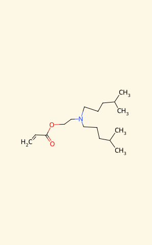 C=CC(=O)OCCN(CCCC(C)C)CCCC(C)C